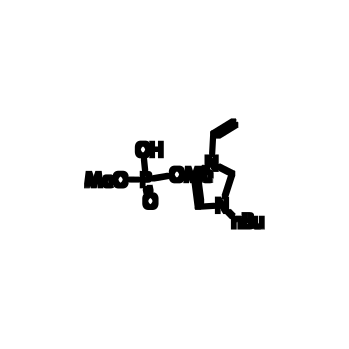 C=CN1C=CN(CCCC)C1.COP(=O)(O)OC